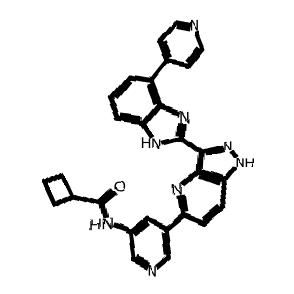 O=C(Nc1cncc(-c2ccc3[nH]nc(-c4nc5c(-c6ccncc6)cccc5[nH]4)c3n2)c1)C1CCC1